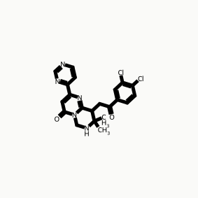 CC1(C)NCn2c(nc(-c3ccncn3)cc2=O)C1CC(=O)c1ccc(Cl)c(Cl)c1